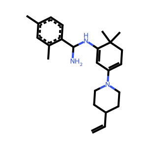 C=CC1CCN(C2=CCC(C)(C)C(NC(N)c3ccc(C)cc3C)=C2)CC1